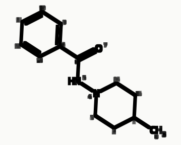 CC1CCN(NC(=O)c2ccccc2)CC1